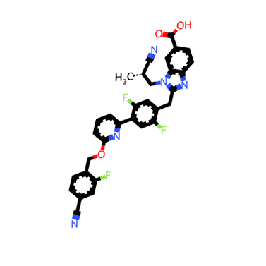 C[C@H](C#N)Cn1c(Cc2cc(F)c(-c3cccc(OCc4ccc(C#N)cc4F)n3)cc2F)nc2ccc(C(=O)O)cc21